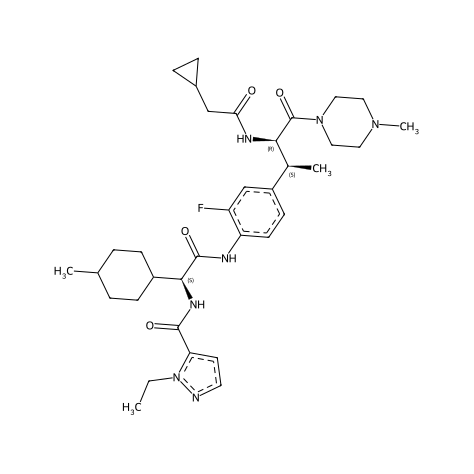 CCn1nccc1C(=O)N[C@H](C(=O)Nc1ccc([C@H](C)[C@@H](NC(=O)CC2CC2)C(=O)N2CCN(C)CC2)cc1F)C1CCC(C)CC1